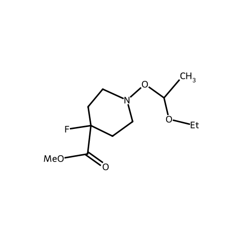 CCOC(C)ON1CCC(F)(C(=O)OC)CC1